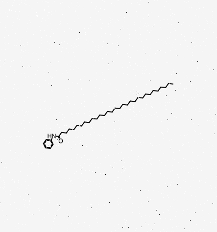 CCCCCCCCCCCCCCCCCCCCCCCCCCCCCCC(=O)Nc1ccccc1